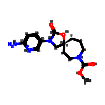 CC(C)(C)OC(=O)N1CCC[C@]2(CC1)CN(c1ccc(N)nc1)C(=O)O2